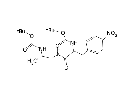 C[C@@H](CNC(=O)C(Cc1ccc([N+](=O)[O-])cc1)NC(=O)OC(C)(C)C)NC(=O)OC(C)(C)C